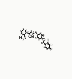 Nc1ncccc1-c1cc(Cc2ccc(OCC3C=CC(F)=CN3)nc2)no1